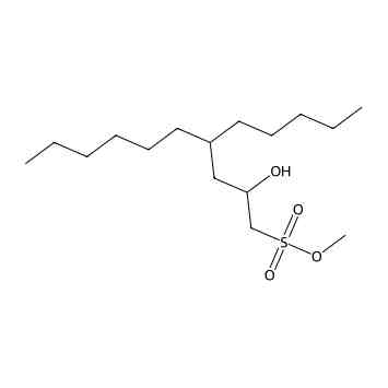 CCCCCCC(CCCCC)CC(O)CS(=O)(=O)OC